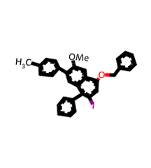 COc1cc2c(OCc3ccccc3)cc(I)c(-c3ccccc3)c2cc1-c1ccc(C)cc1